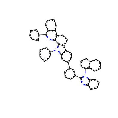 c1ccc(-c2nc3c(ccc4c5ccc(-c6cccc(-c7nc8ccccc8n7-c7cccc8ccccc78)c6)cc5n(-c5ccccc5)c43)c3ccccc23)cc1